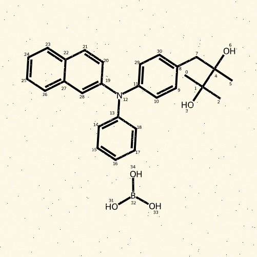 CC(C)(O)C(C)(O)Cc1ccc(N(c2ccccc2)c2ccc3ccccc3c2)cc1.OB(O)O